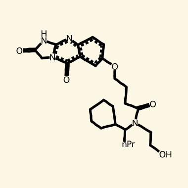 CCCC(C1CCCCC1)N(CCO)C(=O)CCCOc1ccc2nc3n(c(=O)c2c1)CC(=O)N3